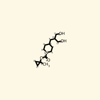 CC1(OC(=O)N2CCC(CC(CO)CO)CC2)CC1